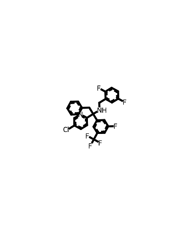 Fc1cc(C(F)(F)F)cc(C(Cc2ccccc2)(NCc2cc(F)ccc2F)c2ccc(Cl)cn2)c1